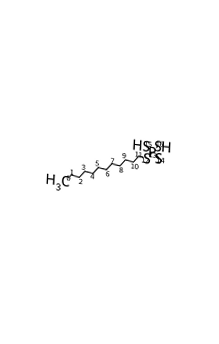 CCCCCCCCCCCCSP(=S)(S)S